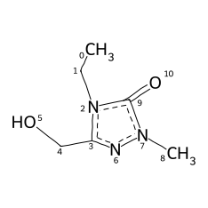 CCn1c(CO)nn(C)c1=O